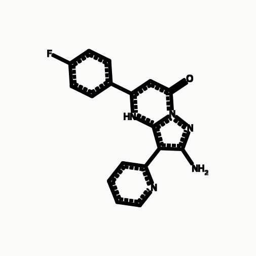 Nc1nn2c(=O)cc(-c3ccc(F)cc3)[nH]c2c1-c1ccccn1